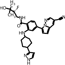 CC(C)(O)[C@H](F)CNC(=O)c1ccc(-c2ccc3cc(C#N)cnn23)cc1NC1CCC(c2cc[nH]n2)CC1